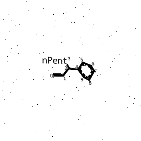 [CH]=CC(CCCCC)c1ccccc1